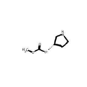 COC(=O)O[C@H]1CCNC1